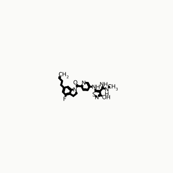 C=CCCc1cc(F)c2c(c1)N(C(=O)c1ccc(Nc3snc(O)c3C(=N)NC)cn1)CC2